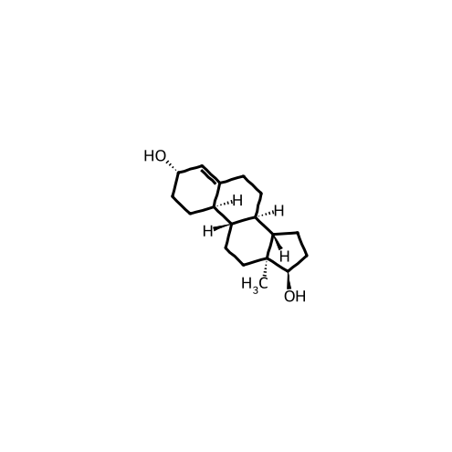 C[C@]12CC[C@H]3[C@@H](CCC4=C[C@@H](O)CC[C@@H]43)[C@@H]1CC[C@H]2O